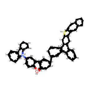 c1ccc2cc3c(cc2c1)sc1cc2c4ccc(-c5ccc6oc7ccc(-n8c9ccccc9c9ccccc98)cc7c6c5)cc4c4ccccc4c2cc13